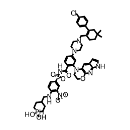 CC1(C)CCC(CN2CCN(c3ccc(C(=O)NS(=O)(=O)c4ccc(NCC5CC[PH](O)(O)CC5)c([N+](=O)[O-])c4)c(N4CCOc5nc6[nH]ccc6cc54)c3)CC2)=C(c2ccc(Cl)cc2)C1